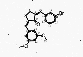 COc1cc(C=C2CCC(=Cc3cccc(Br)c3)C2=O)cc(OC)c1